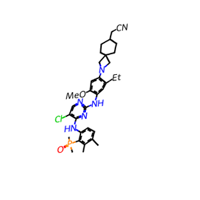 CCc1cc(Nc2ncc(Cl)c(Nc3ccc(C)c(C)c3P(C)(C)=O)n2)c(OC)cc1N1CC2(CCC(CC#N)CC2)C1